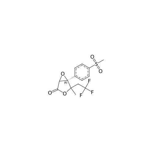 CC1(CC(F)(F)F)OC(=O)C2O[C@]21c1ccc(S(C)(=O)=O)cc1